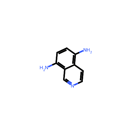 Nc1ccc(N)c2cnccc12